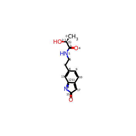 C[C@H](O)C(=O)NCCc1ccc2c(c1)=NC(=O)C=2